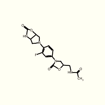 CC(=O)NCC1CN(c2ccc(N3CC4NC(=O)OC4C3)c(F)c2)C(=O)O1